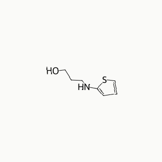 OCCCNc1cccs1